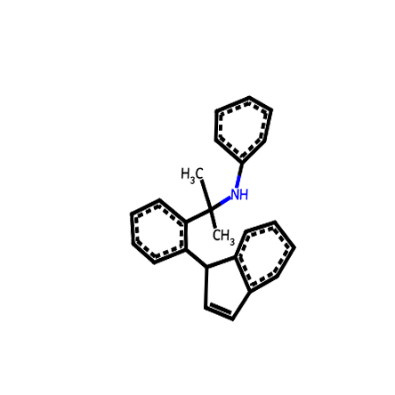 CC(C)(Nc1ccccc1)c1ccccc1C1C=Cc2ccccc21